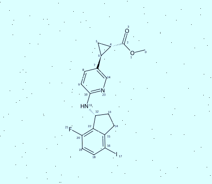 COC(=O)[C@H]1C[C@@H]1c1ccc(N[C@@H]2CCc3c(I)ccc(F)c32)nc1